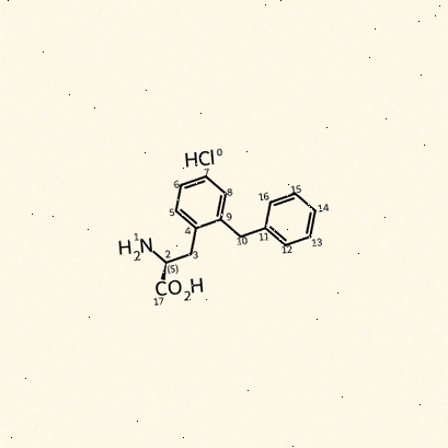 Cl.N[C@@H](Cc1ccccc1Cc1ccccc1)C(=O)O